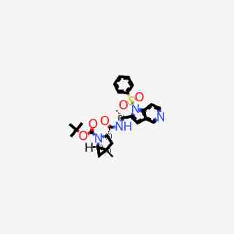 C[C@@H](NC(=O)[C@@H]1C[C@]2(C)C[C@@H]2N1C(=O)OC(C)(C)C)c1cc2cnccc2n1S(=O)(=O)c1ccccc1